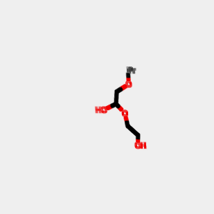 CC(C)OCC(O)OCCO